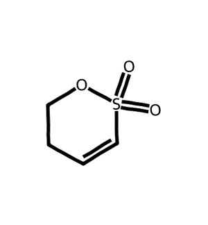 O=S1(=O)C=CCCO1